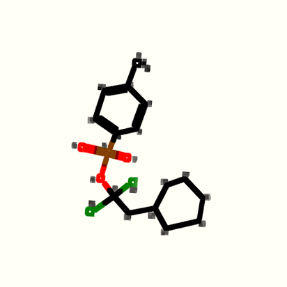 Cc1ccc(S(=O)(=O)OC(Cl)(Cl)CC2CCCCC2)cc1